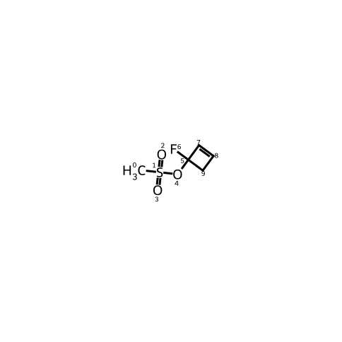 CS(=O)(=O)OC1(F)C=CC1